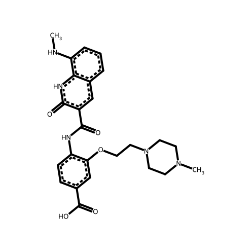 CNc1cccc2cc(C(=O)Nc3ccc(C(=O)O)cc3OCCN3CCN(C)CC3)c(=O)[nH]c12